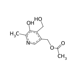 CC(=O)OCc1cnc(C)c(O)c1CO